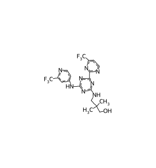 CC(C)(CO)CNc1nc(Nc2ccnc(C(F)(F)F)c2)nc(-c2nccc(C(F)(F)F)n2)n1